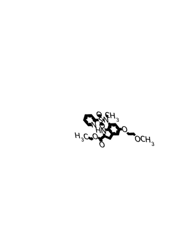 CCOC(=O)C1Cc2cc(OCCOC)cc(N(C)S(=O)(=O)c3ccccn3)c2N1